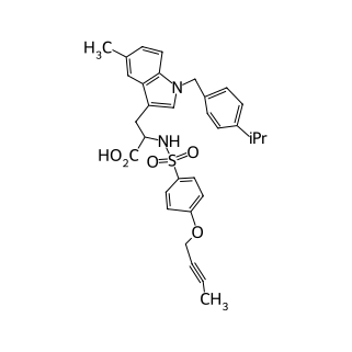 CC#CCOc1ccc(S(=O)(=O)NC(Cc2cn(Cc3ccc(C(C)C)cc3)c3ccc(C)cc23)C(=O)O)cc1